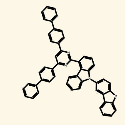 c1ccc(-c2ccc(-c3cc(-c4ccc(-c5ccccc5)cc4)nc(-c4cccc5c4c4ccccc4n5-c4ccc5oc6ccccc6c5c4)n3)cc2)cc1